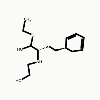 CCOC(O)[C@H](CC[C@H]1C=CC=CC1)NCCO